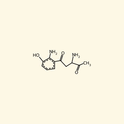 CC(=O)C(N)CC(=O)c1cccc(O)c1N